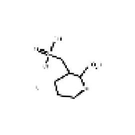 Cl.O=C(O)C1NCCCC1CP(=O)(O)O